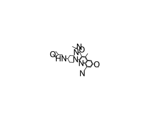 COc1cc(C#N)c2nc(N3CCC(NCC4COC4)CC3)c(-c3nc(C)no3)c(C)c2c1